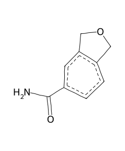 NC(=O)c1ccc2c(c1)COC2